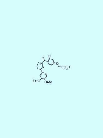 CCOc1cc(C2=NN(C(=O)c3ccc(OCC(=O)O)cc3Cl)CCC2)ccc1OC